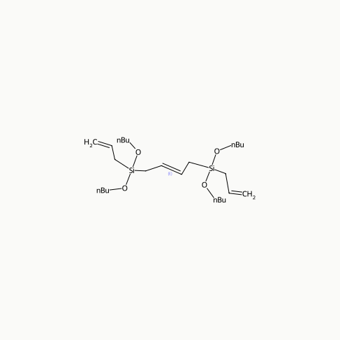 C=CC[Si](C/C=C/C[Si](CC=C)(OCCCC)OCCCC)(OCCCC)OCCCC